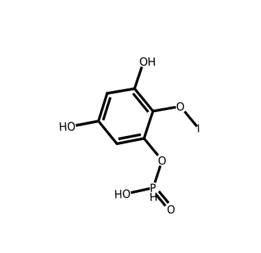 O=[PH](O)Oc1cc(O)cc(O)c1OI